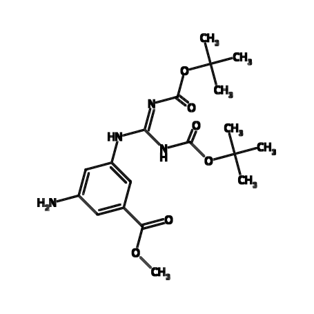 COC(=O)c1cc(N)cc(N/C(=N/C(=O)OC(C)(C)C)NC(=O)OC(C)(C)C)c1